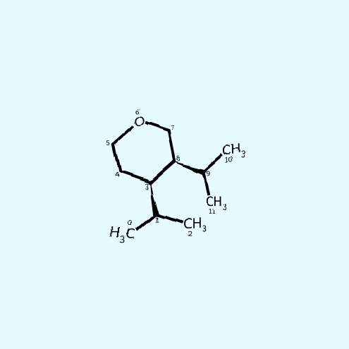 CC(C)[C@H]1CCOC[C@H]1C(C)C